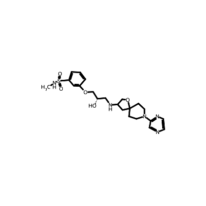 CNS(=O)(=O)c1cccc(OC[C@@H](O)CNC2COC3(CCN(c4cnccn4)CC3)C2)c1